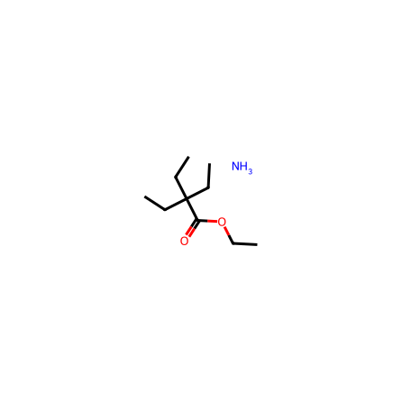 CCOC(=O)C(CC)(CC)CC.N